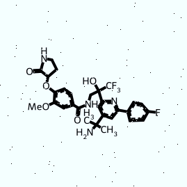 COc1cc(C(=O)NCC(O)(c2cc(C(C)(C)N)cc(-c3ccc(F)cc3)n2)C(F)(F)F)ccc1OC1CCNC1=O